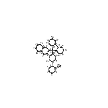 Brc1ccccc1-c1ccc(C2(c3ccc4ccccc4c3)c3ccccc3-c3ccccc32)cc1